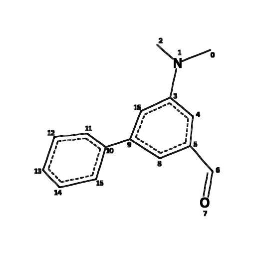 CN(C)c1cc(C=O)cc(-c2ccccc2)c1